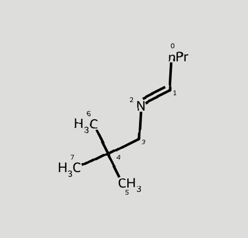 CCC/C=N/CC(C)(C)C